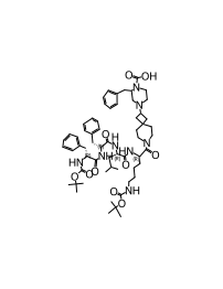 CC(C)C[C@@H](NC(=O)[C@@H](Cc1ccccc1)NC(=O)[C@@H](Cc1ccccc1)NC(=O)OC(C)(C)C)C(=O)N[C@H](CCCCNC(=O)OC(C)(C)C)C(=O)N1CCC2(CC1)CC(N1CCN(C(=O)O)C(Cc3ccccc3)C1)C2